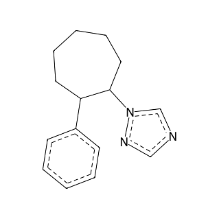 c1ccc(C2CCCCCC2n2cncn2)cc1